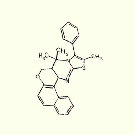 CC1=C(c2ccccc2)N2C(=NC3c4c(ccc5ccccc45)OCC3C2(C)C)S1